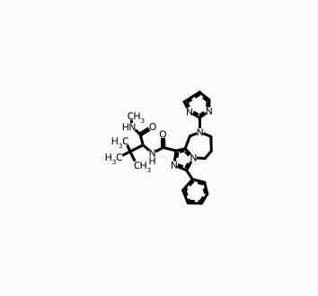 CNC(=O)C(NC(=O)c1nc(-c2ccccc2)n2c1CN(c1ncccn1)CCC2)C(C)(C)C